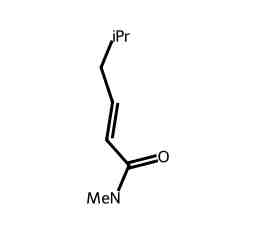 CNC(=O)/C=C/CC(C)C